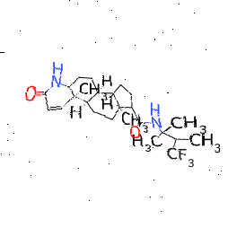 CC(C(F)(F)F)C(C)(C)NC(=O)C1CC[C@H]2[C@@H]3CCC4NC(=O)C=C[C@]4(C)[C@@H]3CC[C@]12C